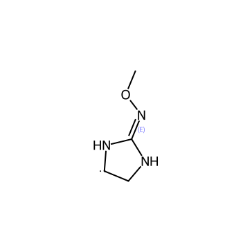 CO/N=C1\N[CH]CN1